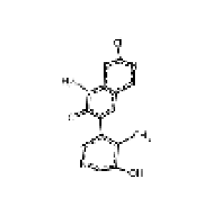 Cc1c(O)cncc1-c1cc2cnc(Cl)cc2n(C)c1=O